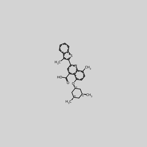 Cc1c(-c2cc(C(=O)O)c3c(O[C@@H]4C[C@H](C)C[C@H](C)C4)ccc(C)c3n2)sc2ccccc12